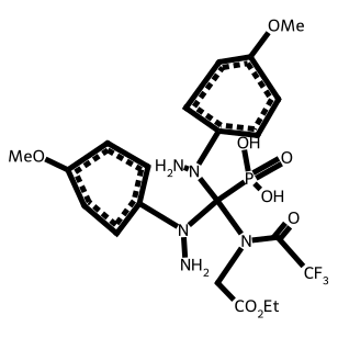 CCOC(=O)CN(C(=O)C(F)(F)F)C(N(N)c1ccc(OC)cc1)(N(N)c1ccc(OC)cc1)P(=O)(O)O